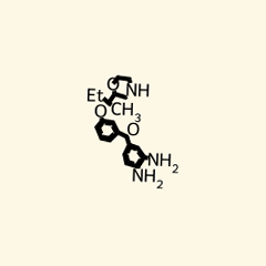 CCC(C)(Oc1cccc(C(=O)c2ccc(N)c(N)c2)c1)C1CNCCO1